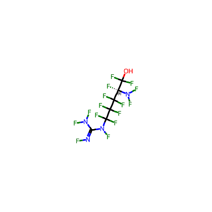 OC(F)(F)[C@@](F)(N(F)F)C(F)(F)C(F)(F)C(F)(F)N(F)C(=NF)N(F)F